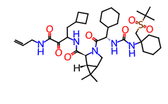 C=CCNC(=O)C(=O)C(CC1CCC1)NC(=O)[C@@H]1[C@@H]2C(CN1C(=O)[C@@H](NC(=O)NC1(CS(=O)(=O)C(C)(C)C)CCCCC1)C1CCCCC1)C2(C)C